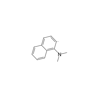 CN(C)c1[c]ccc2ccccc12